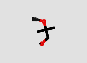 CCOC(C)(C)C[O]